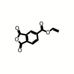 C=COC(=O)c1ccc2c(c1)C(=O)OC2=O